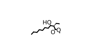 CCCCCCC[C@@H](O)[C@@H](CC)C(=O)OC